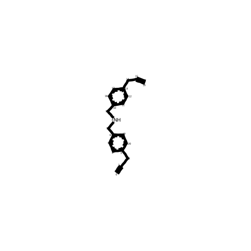 C#CCc1ccc(CNCc2ccc(CC#C)cc2)cc1